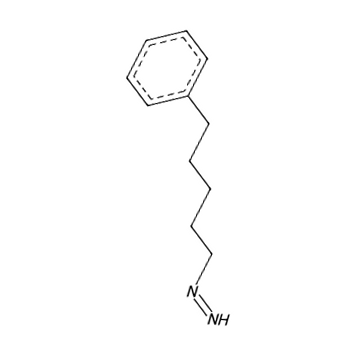 N=NCCCCCc1ccccc1